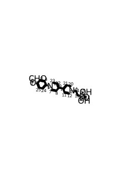 O=COc1ccc(-[n+]2ccc(-c3cc[n+](CCP(=O)(O)O)cc3)cc2)cc1